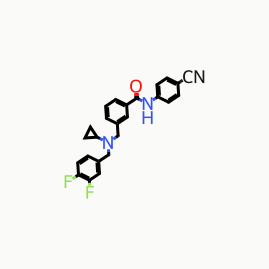 N#Cc1ccc(NC(=O)c2cccc(CN(Cc3ccc(F)c(F)c3)C3CC3)c2)cc1